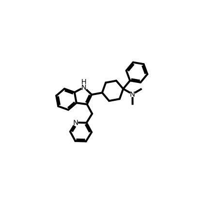 CN(C)C1(c2ccccc2)CCC(c2[nH]c3ccccc3c2Cc2ccccn2)CC1